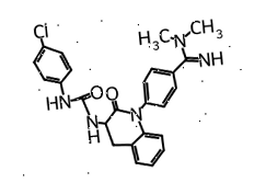 CN(C)C(=N)c1ccc(N2C(=O)C(NC(=O)Nc3ccc(Cl)cc3)Cc3ccccc32)cc1